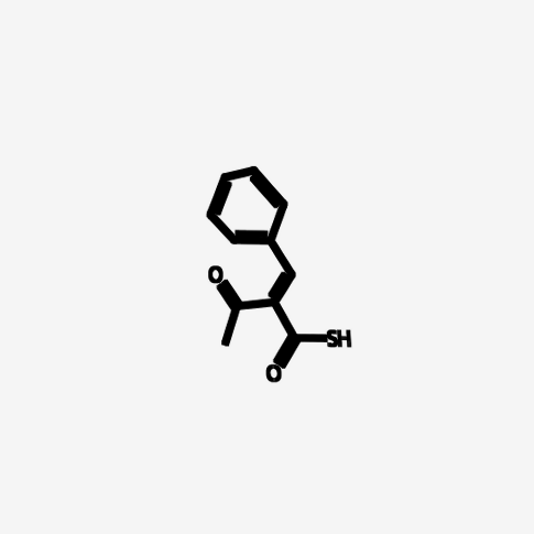 CC(=O)/C(=C\c1ccccc1)C(=O)S